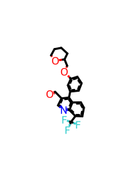 O=Cc1cnc2c(C(F)(F)F)cccc2c1-c1cccc(OCC2CCCCO2)c1